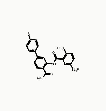 COC(=O)c1ccc(-c2ccc(F)cc2)cc1NC(=O)c1cc(C(=O)O)ccc1C(=O)O